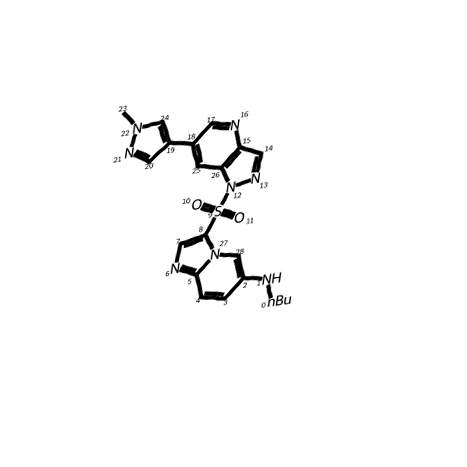 CCCCNc1ccc2ncc(S(=O)(=O)n3ncc4ncc(-c5cnn(C)c5)cc43)n2c1